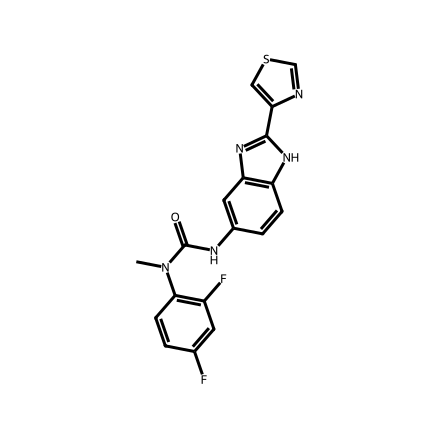 CN(C(=O)Nc1ccc2[nH]c(-c3cscn3)nc2c1)c1ccc(F)cc1F